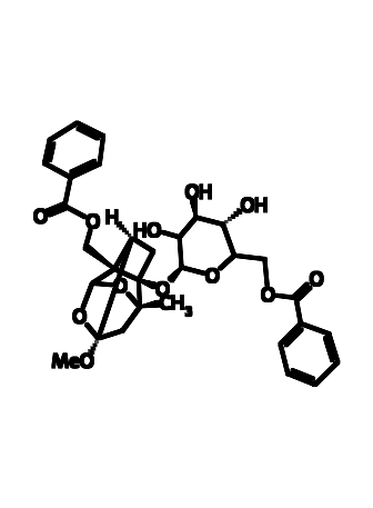 CO[C@]12C[C@]3(C)OC(O1)[C@]1(COC(=O)c4ccccc4)[C@H]2C[C@]31O[C@@H]1OC(COC(=O)c2ccccc2)[C@@H](O)[C@H](O)C1O